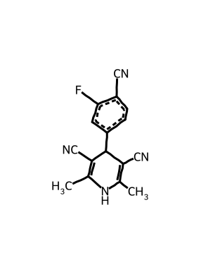 CC1=C(C#N)C(c2ccc(C#N)c(F)c2)C(C#N)=C(C)N1